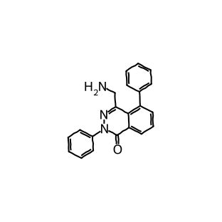 NCc1nn(-c2ccccc2)c(=O)c2cccc(-c3ccccc3)c12